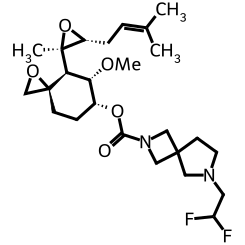 CO[C@@H]1[C@H](OC(=O)N2CC3(CCN(CC(F)F)C3)C2)CC[C@]2(CO2)[C@H]1[C@@]1(C)O[C@@H]1CC=C(C)C